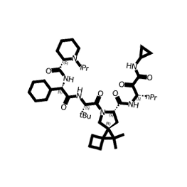 CCC[C@H](NC(=O)[C@@H]1C[C@@]2(CN1C(=O)[C@@H](NC(=O)[C@@H](NC(=O)[C@@H]1CCCCN1C(C)C)C1CCCCC1)C(C)(C)C)C(C)(C)C21CCC1)C(=O)C(=O)NC1CC1